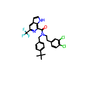 CC(C)(C)c1ccc(CN(CCc2ccc(Cl)c(Cl)c2)C(=O)c2nc(C(F)(F)F)cc3cc[nH]c23)cc1